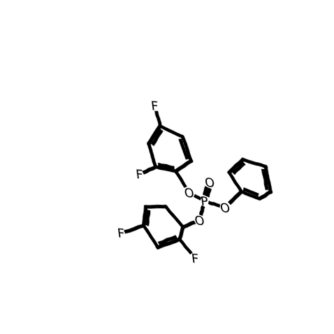 O=P(Oc1ccccc1)(Oc1ccc(F)cc1F)OC1CC=C(F)C=C1F